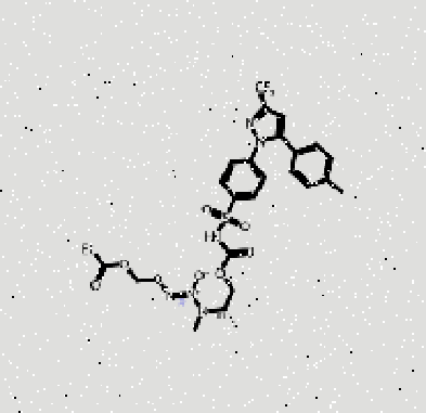 CCC(=O)OCO/N=[N+](\[O-])N(C)[C@@H](C)COC(=O)NS(=O)(=O)c1ccc(-n2nc(C(F)(F)F)cc2-c2ccc(C)cc2)cc1